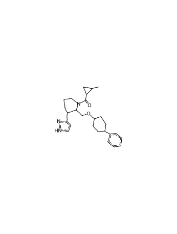 CC1CC1C(=O)N1CCCC(c2cc[nH]n2)C1COC1CCC(c2ccccc2)CC1